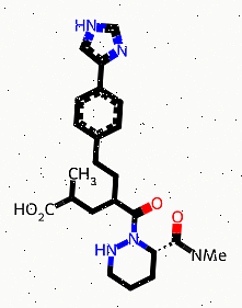 CNC(=O)[C@@H]1CCCNN1C(=O)C(CCc1ccc(-c2c[nH]cn2)cc1)CC(C)C(=O)O